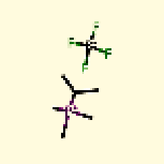 CC(C)[P+](C)(C)C.F[B-](F)(F)F